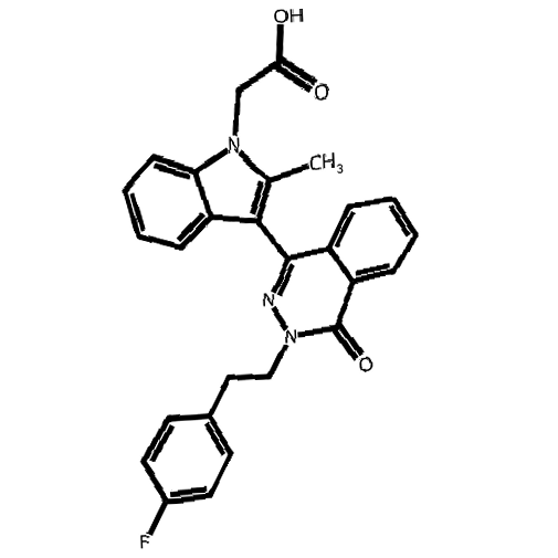 Cc1c(-c2nn(CCc3ccc(F)cc3)c(=O)c3ccccc23)c2ccccc2n1CC(=O)O